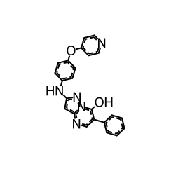 Oc1c(-c2ccccc2)cnc2cc(Nc3ccc(Oc4ccncc4)cc3)nn12